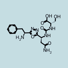 NC(=O)C[C@H](NC(=O)N[C@@H](CO)C(=O)O)c1nnc([C@@H](N)Cc2ccccc2)o1